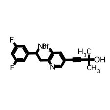 CC(C)(O)C#Cc1cnc(CC(N)c2cc(F)cc(F)c2)c(Br)c1